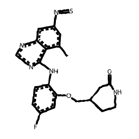 Cc1cc(N=S)cc2ncnc(Nc3ccc(F)cc3OCC3CCNC(=O)C3)c12